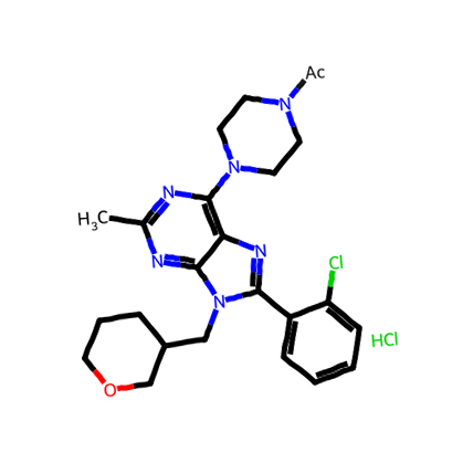 CC(=O)N1CCN(c2nc(C)nc3c2nc(-c2ccccc2Cl)n3CC2CCCOC2)CC1.Cl